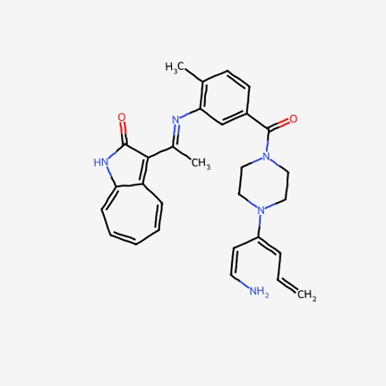 C=C/C=C(\C=C/N)N1CCN(C(=O)c2ccc(C)c(/N=C(\C)c3c4cccccc-4[nH]c3=O)c2)CC1